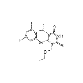 CCOCn1c([Se]c2cc(F)cc(F)c2)c(C(C)C)c(=O)[nH]c1=S